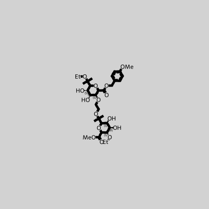 CCO[C@@H]1C(C(=O)OC)OC(C(C)(C)OCCO[C@@H]2C(C(=O)OCc3ccc(OC)cc3)OC(C(C)(C)OCC)[C@@H](O)[C@H]2O)[C@@H](O)[C@H]1O